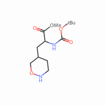 COC(=O)C(CC1CCNOC1)NC(=O)OC(C)(C)C